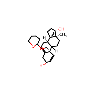 C[C@]12CC[C@H]3[C@@H](CC=C4C[C@@H](O)C=C[C@@]43COC3CCCCO3)[C@@H]1CC[C@@H]2O